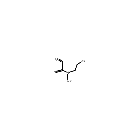 C=CC(=O)N(CCC)CCC(C)(C)C